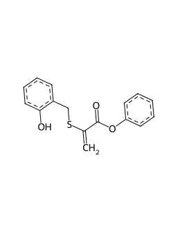 C=C(SCc1ccccc1O)C(=O)Oc1ccccc1